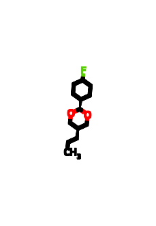 CCC[C@H]1CO[C@H](C2CCC(F)CC2)OC1